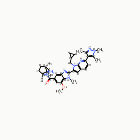 COc1cc(C(=O)N2C[C@H]3CC[C@@H]2[C@@H]3N)cc2nc(-c3cc4ccc(-c5c(C)nn(C)c5C)nc4n3CC3CC3)n(C)c12